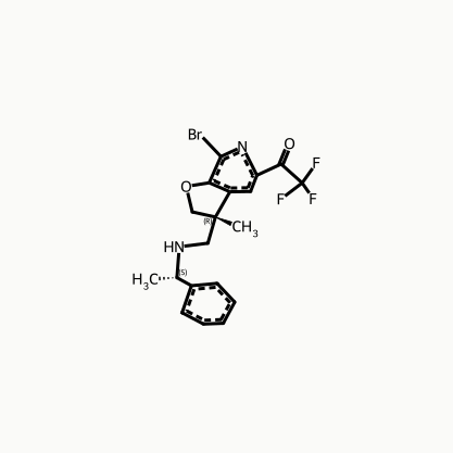 C[C@H](NC[C@]1(C)COc2c1cc(C(=O)C(F)(F)F)nc2Br)c1ccccc1